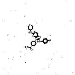 NC(=O)[C@H]1CC[C@@H](n2c(Nc3ccc(F)cc3)nc3cnc(NC4CCOCC4)nc32)CC1